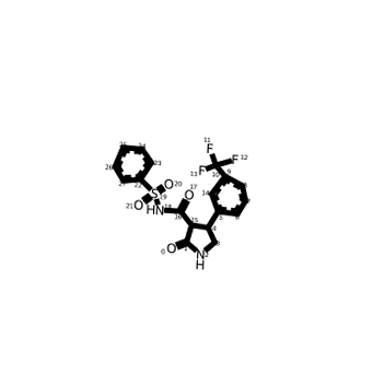 O=C1NCC(c2cccc(C(F)(F)F)c2)C1C(=O)NS(=O)(=O)c1ccccc1